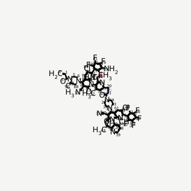 C=CC(=O)N1CCN(c2c(C#N)c(=O)n(-c3c(C)cc(/C=C\C(=O)N4CCN(c5c(C#N)c(=O)n(-c6c(C)ccnc6C(C)C)c6nc(-c7c(F)c(F)c(F)c(F)c7F)c(Cl)cc56)CC4)nc3C(C)C)c3nc(-c4c(F)c(N)c(F)c(F)c4F)c(Cl)cc23)C[C@H]1C